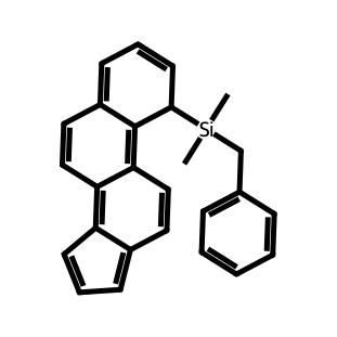 C[Si](C)(Cc1ccccc1)C1C=CC=c2ccc3c4c(ccc3c21)=CC=C4